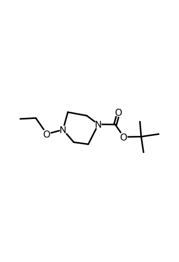 CCON1CCN(C(=O)OC(C)(C)C)CC1